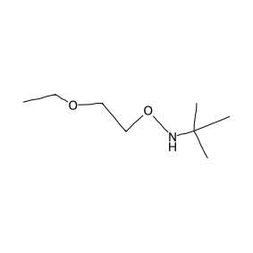 CCOCCONC(C)(C)C